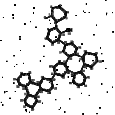 Cc1ccccc1-c1cccc(-c2ccc3c(c2)-c2ccc(-c4ccc5c6ccccc6c6ccccc6c5c4)cc2-c2ccccc2-c2ccccc2-3)c1O